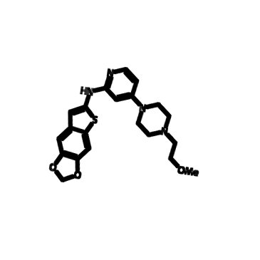 COCCN1CCN(c2ccnc(Nc3cc4cc5c(cc4s3)OCO5)c2)CC1